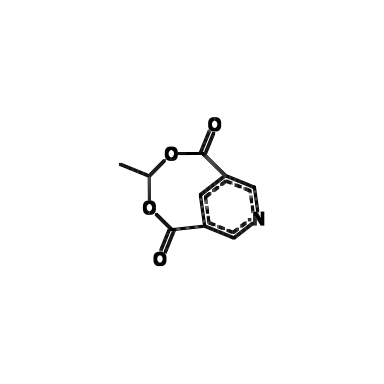 CC1OC(=O)c2cncc(c2)C(=O)O1